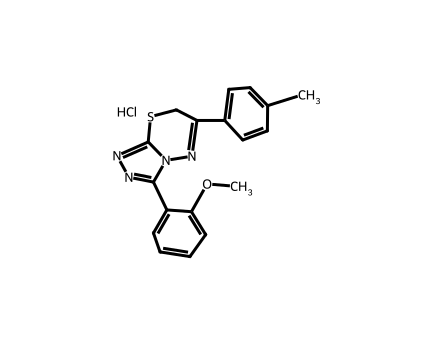 COc1ccccc1-c1nnc2n1N=C(c1ccc(C)cc1)CS2.Cl